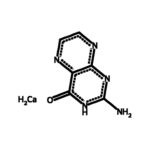 Nc1nc2nccnc2c(=O)[nH]1.[CaH2]